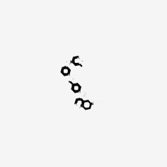 Cc1cc(Nc2cccc(NC(=O)c3ccc(Nc4ccnc5c4CC(P)CC5)cc3)c2)ccn1